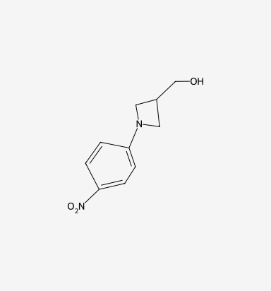 O=[N+]([O-])c1ccc(N2CC(CO)C2)cc1